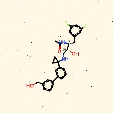 CC(=O)N[C@@H](Cc1cc(F)cc(F)c1)[C@H](O)CNC1(c2cccc(-c3cccc(CO)c3)c2)CC1